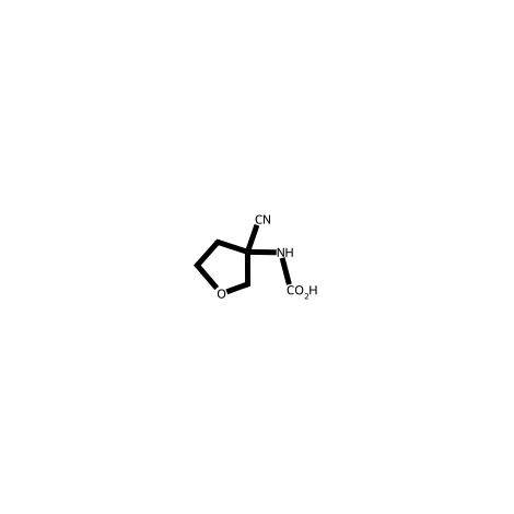 N#CC1(NC(=O)O)CCOC1